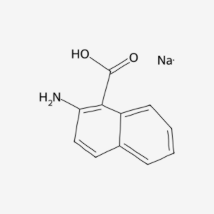 Nc1ccc2ccccc2c1C(=O)O.[Na]